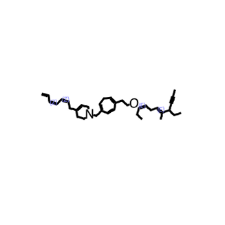 C=C/C=C\C=C/CC1=CCN(CC2=CCC=C(CCO/C(=C/C/C=C(\C)C(C#CC)CC)CC)C=C2)CC1